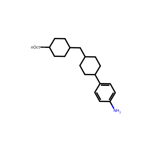 CCCCCCCCC1CCC(CC2CCC(c3ccc(N)cc3)CC2)CC1